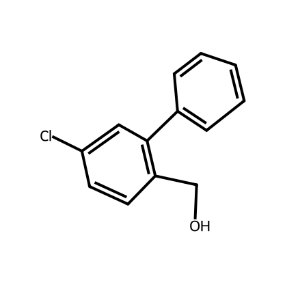 OCc1ccc(Cl)cc1-c1ccccc1